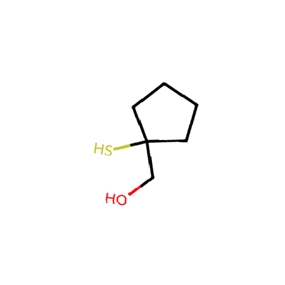 OCC1(S)CCCC1